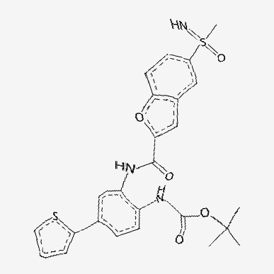 CC(C)(C)OC(=O)Nc1ccc(-c2cccs2)cc1NC(=O)c1cc2cc(S(C)(=N)=O)ccc2o1